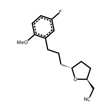 COc1ccc(F)cc1CCC[C@@H]1CC[C@@H](CC#N)O1